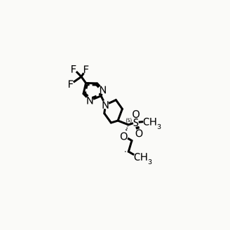 C[CH]CO[C@H](C1CCN(c2ncc(C(F)(F)F)cn2)CC1)S(C)(=O)=O